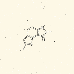 Cc1nc2ccc3cc(C)sc3c2[nH]1